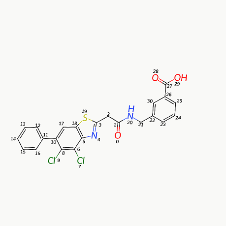 O=C(Cc1nc2c(Cl)c(Cl)c(-c3ccccc3)cc2s1)NCc1cccc(C(=O)O)c1